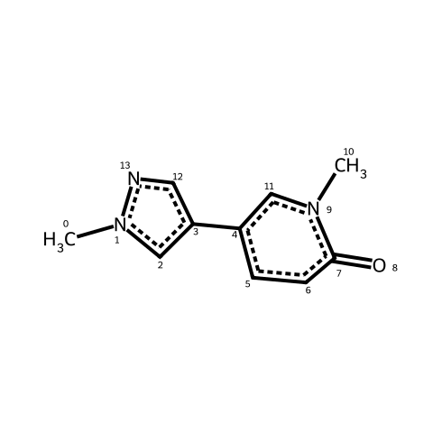 Cn1cc(-c2ccc(=O)n(C)c2)cn1